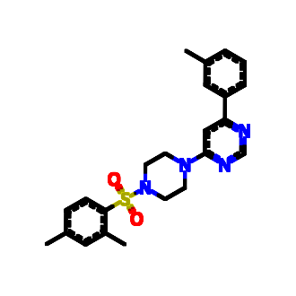 Cc1cccc(-c2cc(N3CCN(S(=O)(=O)c4ccc(C)cc4C)CC3)ncn2)c1